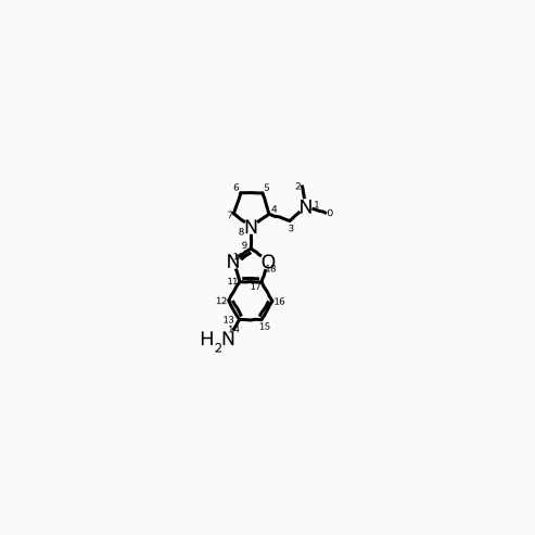 CN(C)CC1CCCN1c1nc2cc(N)ccc2o1